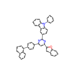 c1ccc(-n2c3ccccc3c3cc(-c4nc(-c5ccc(-c6cccc7ccccc67)cc5)cc(-c5cc6ccccc6o5)n4)ccc32)cc1